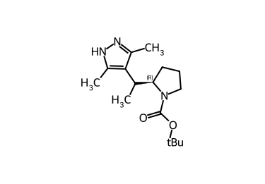 Cc1n[nH]c(C)c1C(C)[C@H]1CCCN1C(=O)OC(C)(C)C